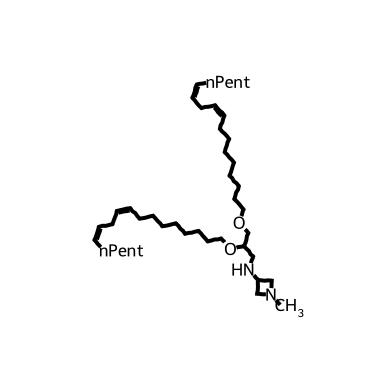 CCCCC/C=C\C/C=C\CCCCCCCCOCC(CNC1CN(C)C1)OCCCCCCCC/C=C\C/C=C\CCCCC